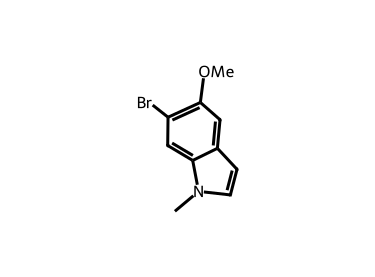 COc1cc2ccn(C)c2cc1Br